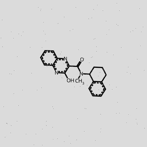 CN(C(=O)c1nc2ccccc2nc1O)C1CCCc2ccccc21